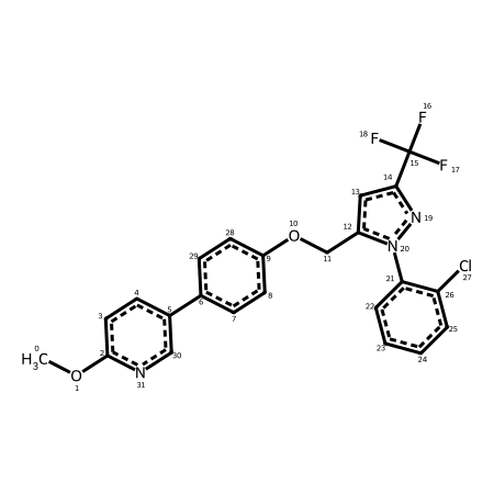 COc1ccc(-c2ccc(OCc3cc(C(F)(F)F)nn3-c3ccccc3Cl)cc2)cn1